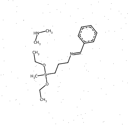 CCO[Si](C)(CCCN=Cc1ccccc1)OCC.CNC